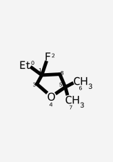 CCC1(F)COC(C)(C)C1